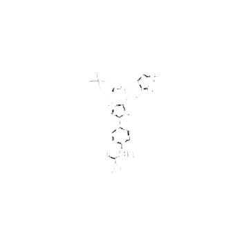 COC(=O)Nc1ccc(-c2c[nH]c([C@H](Cc3ccn(C)n3)NC(=O)OC(C)(C)C)n2)cc1